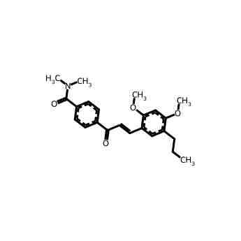 CCCc1cc(C=CC(=O)c2ccc(C(=O)N(C)C)cc2)c(OC)cc1OC